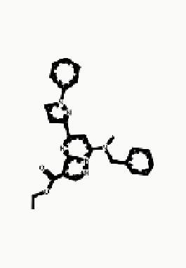 CCOC(=O)c1cnn2c(N(C)Cc3ccccc3)cc(-c3ccn(-c4ccccc4)n3)nc12